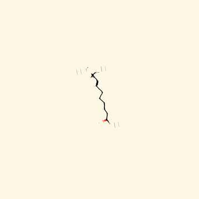 CC(=O)CCCCCC=CC(C)(C)C